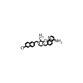 CC1C(C=O)N(Cc2ccc3c(N)ccnc3c2)CCN1Cc1ccc2cc(Cl)ccc2c1